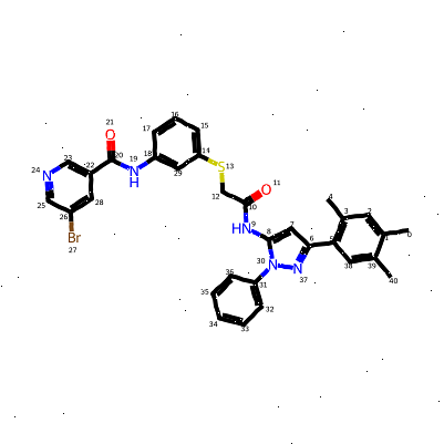 Cc1cc(C)c(-c2cc(NC(=O)CSc3cccc(NC(=O)c4cncc(Br)c4)c3)n(-c3ccccc3)n2)cc1C